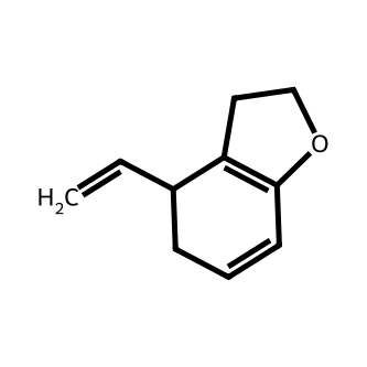 C=CC1CC=CC2=C1CCO2